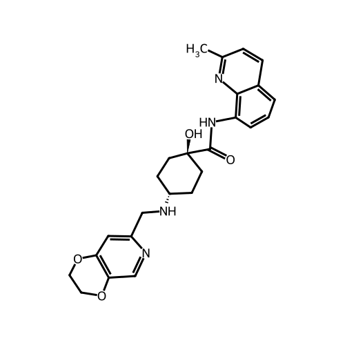 Cc1ccc2cccc(NC(=O)[C@]3(O)CC[C@H](NCc4cc5c(cn4)OCCO5)CC3)c2n1